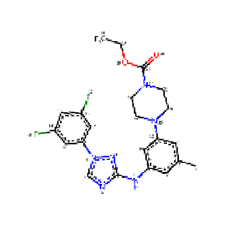 Cc1cc(Nc2ncn(-c3cc(F)cc(F)c3)n2)cc(N2CCN(C(=O)OCC(F)(F)F)CC2)c1